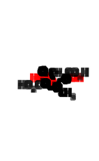 Cc1cc(Cc2ccc(O)c(C(=O)O)c2)c(OCC(C)Oc2ccccc2)c(Cc2ccc(O)c(C(=O)O)c2)c1